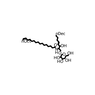 CCCCCCCC/C=C\CCCCCCCCCCCCCC(=O)NC(COC1OC(CO)C(O)C(O)C1O)C(O)/C=C/CCCCCCCCCCCCC